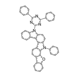 c1ccc(-c2nc(-c3ccccc3)nc(-n3c4ccccc4c4c5c6ccc7c8ccccc8oc7c6n(-c6ccccc6)c5ccc43)n2)cc1